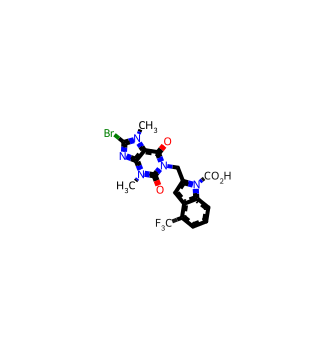 Cn1c(Br)nc2c1c(=O)n(Cc1cc3c(C(F)(F)F)cccc3n1C(=O)O)c(=O)n2C